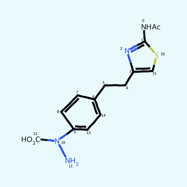 CC(=O)Nc1nc(CCc2ccc(N(N)C(=O)O)cc2)cs1